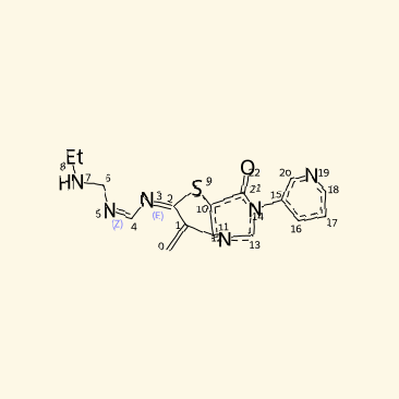 C=C1/C(=N\C=N/CNCC)Sc2c1ncn(-c1cccnc1)c2=O